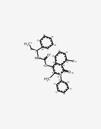 CC[C@H](NC(=O)Oc1c(C)n(-c2ccccc2)c(=O)c2c(F)cccc12)c1ccccc1